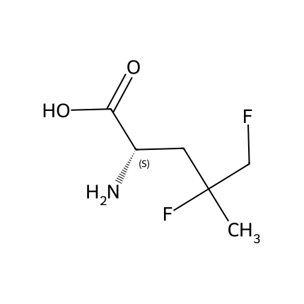 CC(F)(CF)C[C@H](N)C(=O)O